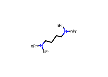 CCCN(CCC)CCCCN(CCC)CCC